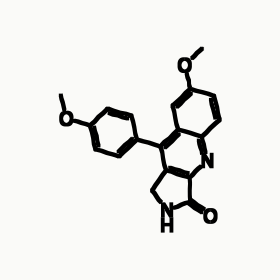 COc1ccc(-c2c3c(nc4ccc(OC)cc24)C(=O)NC3)cc1